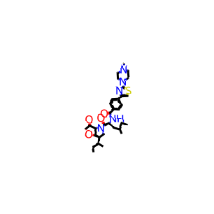 CC=C(C)C1CN(C(=O)C(CC(C)CC)NC(=O)c2ccc(-c3csc(N4CCN(C)CC4)n3)cc2)C2C(=O)COC12